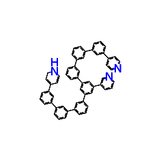 C1=CC(c2cccc(-c3cccc(-c4cccc(-c5cc(-c6cccnc6)cc(-c6cccc(-c7cccc(-c8cccc(-c9ccncc9)c8)c7)c6)c5)c4)c3)c2)=CCN1